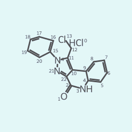 Cl.O=c1[nH]c2ccccc2c2c(CCl)n(-c3ccccc3)nc12